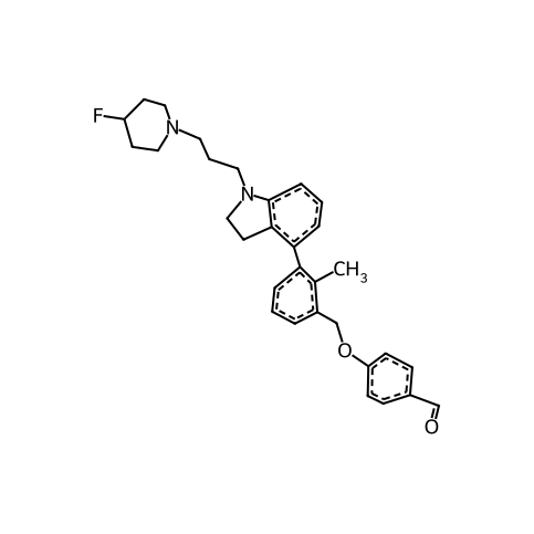 Cc1c(COc2ccc(C=O)cc2)cccc1-c1cccc2c1CCN2CCCN1CCC(F)CC1